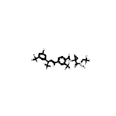 CN(CC(F)(F)F)C(=O)C1(NC(=O)c2ccc(C(F)=CC(c3cc(Cl)cc(C(F)(F)F)c3)C(F)(F)F)cc2C(F)(F)F)CC1